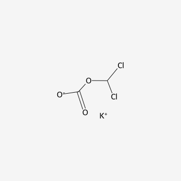 O=C([O-])OC(Cl)Cl.[K+]